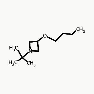 CCCCOC1CN(C(C)(C)C)C1